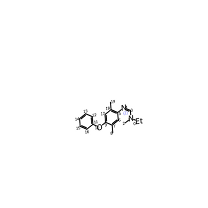 CCN(C)/C=N\c1cc(C)c(Oc2ccccc2)cc1C